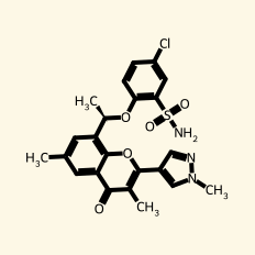 Cc1cc([C@@H](C)Oc2ccc(Cl)cc2S(N)(=O)=O)c2oc(-c3cnn(C)c3)c(C)c(=O)c2c1